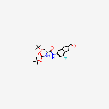 CC(C)(C)OC[C@@H](NC(=O)OC(C)(C)C)C(=O)Nc1cc(F)c2c(c1)CC(C=O)C2